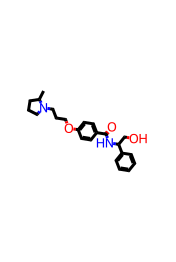 CC1CCCN1CCCOc1ccc(C(=O)NC(CO)c2ccccc2)cc1